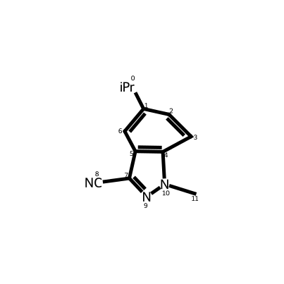 CC(C)c1ccc2c(c1)c(C#N)nn2C